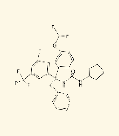 O=C(NC1CCCC1)NC(Cc1ccccc1)(c1cccc(OC(F)F)c1)c1cc(F)cc(C(F)(F)F)c1